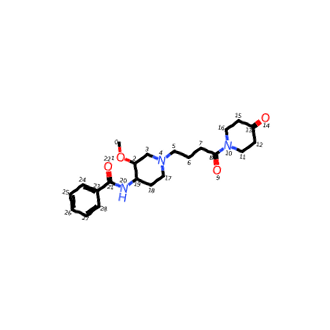 COC1CN(CCCC(=O)N2CCC(=O)CC2)CCC1NC(=O)c1ccccc1